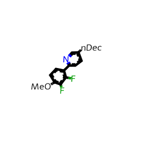 CCCCCCCCCCc1ccc(-c2ccc(OC)c(F)c2F)nc1